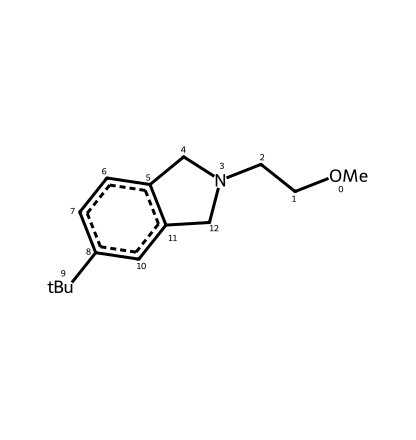 COCCN1Cc2ccc(C(C)(C)C)cc2C1